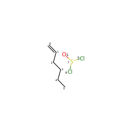 C=CCCCC.[O-][S+](Cl)Cl